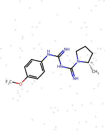 C[C@H]1CCCN1C(=N)NC(=N)Nc1ccc(OC(F)(F)F)cc1